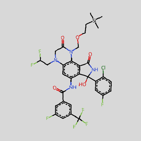 C[Si](C)(C)CCOCN1C(=O)CN(CC(F)F)c2cc(NC(=O)c3cc(F)cc(C(F)(F)F)c3)c3c(c21)C(=O)NC3(O)c1cc(F)ccc1Cl